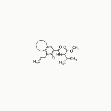 C=CCn1c2c(cc(C(=O)NC(C(=O)OC)C(C)C)c1=O)CCCCCC2